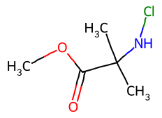 COC(=O)C(C)(C)NCl